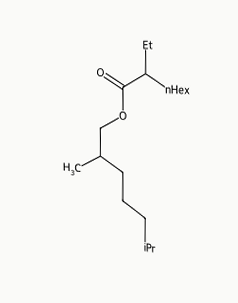 CCCCCCC(CC)C(=O)OCC(C)CCCC(C)C